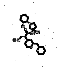 CC[C@@H]1CCCC[C@H]1N1CC[C@](C#N)(NC(=O)[C@@H](CC=O)N2CCOC(CC3CCCCC3)C2)C1